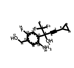 CC(F)(F)C(O)(C#CC1CC1)c1cc(F)c(CO)cc1N